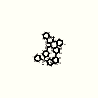 O=P(c1ccccc1)(c1ccccc1)c1ccc(-c2sc3c(c(-c4ccccc4)nc4ccccc43)c2-c2cccc(-c3ccccc3)c2)cc1